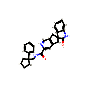 O=C(NCC1(c2ccccc2)CCCC1)c1cc2c(cn1)CC1(C2)C(=O)Nc2ccccc21